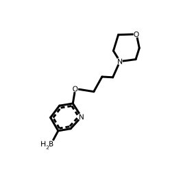 Bc1ccc(OCCCN2CCOCC2)nc1